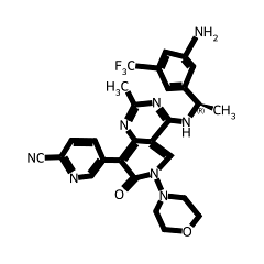 Cc1nc(N[C@H](C)c2cc(N)cc(C(F)(F)F)c2)c2cn(N3CCOCC3)c(=O)c(-c3ccc(C#N)nc3)c2n1